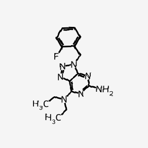 CCN(CC)c1nc(N)nc2c1nnn2Cc1ccccc1F